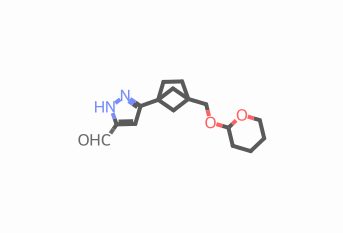 O=Cc1cc(C23CCC(COC4CCCCO4)(C2)C3)n[nH]1